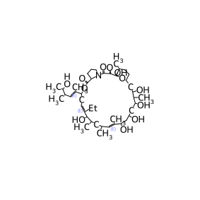 CC/C1=C\CC(/C(C)=C/C(C)C(C)O)OC(=O)C2CCCN2C(=O)C(=O)C2(O)OC(CCC2C)CC(O)C(C)C(O)CC(O)CC(O)/C(C)=C/C(C)CC(C)C1O